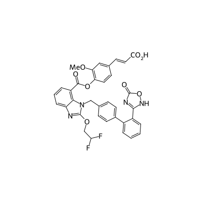 COc1cc(C=CC(=O)O)ccc1OC(=O)c1cccc2nc(OCC(F)F)n(Cc3ccc(-c4ccccc4-c4nc(=O)o[nH]4)cc3)c12